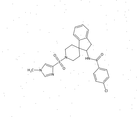 Cn1cnc(S(=O)(=O)N2CCC3(CC2)c2ccccc2CC3NC(=O)c2ccc(Cl)cc2)c1